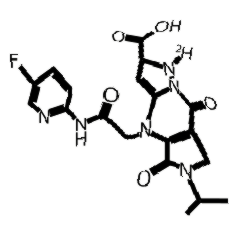 [2H]N1C(C(=O)O)C=C2N(CC(=O)Nc3ccc(F)cn3)C3=C(CN(C(C)C)C3=O)C(=O)N21